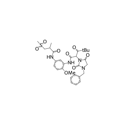 COc1ccc(NC(=O)C(C)CS(C)(=O)=O)cc1NC(=O)C(C(=O)C(C)(C)C)N1C(=O)CN(Cc2ccccc2)C1=O